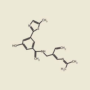 C=C/C(=C\N=C(C)C)CNC(=C)c1cc(O)cc(-c2ncc(C)s2)c1